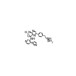 BNCCc1ccc(-c2cnc(N)c(C(=O)Nc3cnccc3-n3ccnc3)n2)cc1